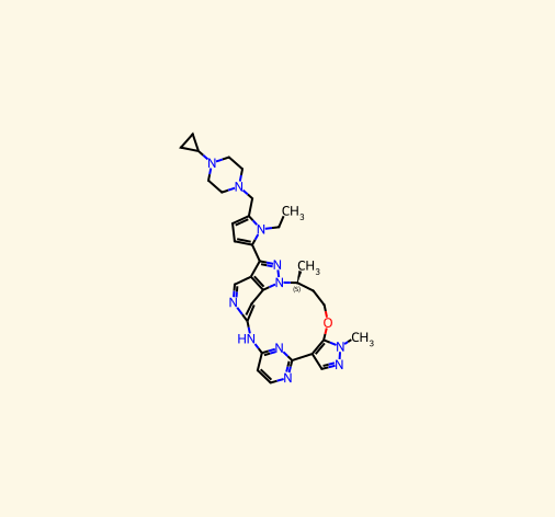 CCn1c(CN2CCN(C3CC3)CC2)ccc1-c1nn2c3cc(ncc13)Nc1ccnc(n1)-c1cnn(C)c1OCC[C@@H]2C